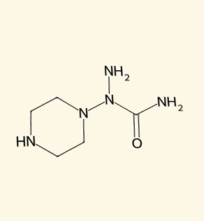 NC(=O)N(N)N1CCNCC1